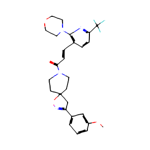 COc1cccc(C2=NOC3(CCN(C(=O)C=Cc4ccc(C(F)(F)F)nc4N4CCOCC4)CC3)C2)c1